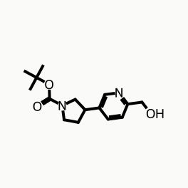 CC(C)(C)OC(=O)N1CCC(c2ccc(CO)nc2)C1